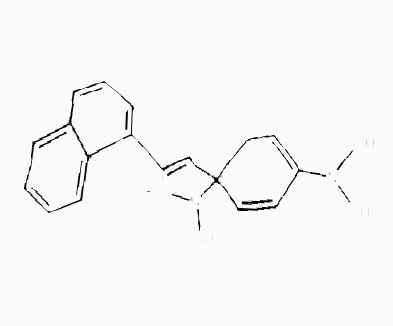 CN(C)C1=CCC(C=Cc2cccc3ccccc23)(N(C)C)C=C1